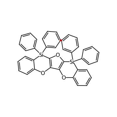 c1ccc([Si]2(c3ccccc3)c3ccccc3Oc3c2oc2c3Oc3ccccc3[Si]2(c2ccccc2)c2ccccc2)cc1